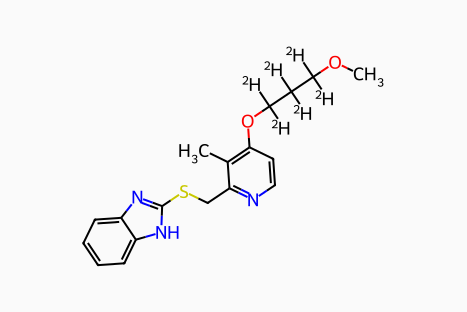 [2H]C([2H])(OC)C([2H])([2H])C([2H])([2H])Oc1ccnc(CSc2nc3ccccc3[nH]2)c1C